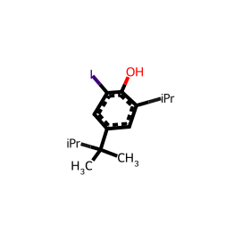 CC(C)c1cc(C(C)(C)C(C)C)cc(I)c1O